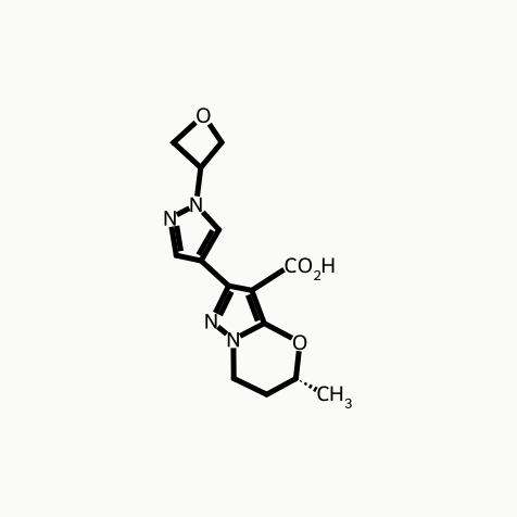 C[C@@H]1CCn2nc(-c3cnn(C4COC4)c3)c(C(=O)O)c2O1